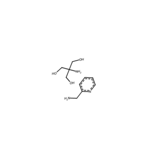 NC(CO)(CO)CO.NCc1ccccn1